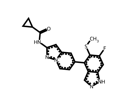 CSc1c(F)cc2[nH]ncc2c1-c1ccn2nc(NC(=O)C3CC3)cc2c1